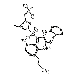 COCCc1ccc(O)cc1Nc1nc2ccccc2nc1NS(=O)(=O)c1cn(C)c(CS(C)(=O)=O)n1